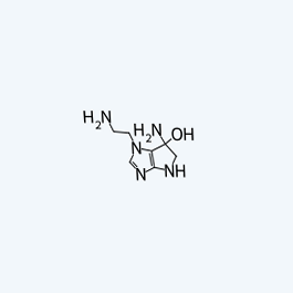 NCCn1cnc2c1C(N)(O)CN2